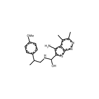 COc1ccc(C(C)CNC(O)c2sc3nnc(C)c(C)c3c2N)cc1